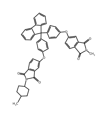 CC1CCC(N2C(=O)c3ccc(Oc4ccc(C5(c6ccc(Oc7ccc8c(c7)C(=O)N(C)C8=O)cc6)c6ccccc6-c6ccccc65)cc4)cc3C2=O)CC1